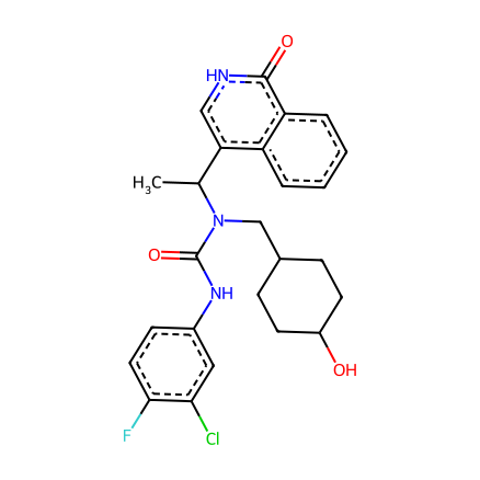 CC(c1c[nH]c(=O)c2ccccc12)N(CC1CCC(O)CC1)C(=O)Nc1ccc(F)c(Cl)c1